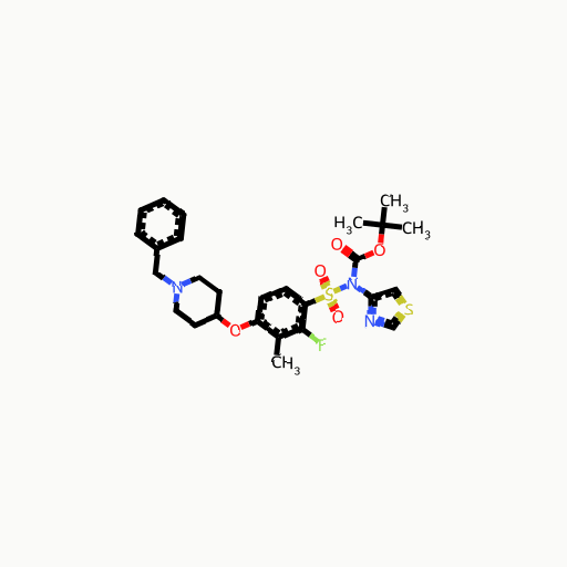 Cc1c(OC2CCN(Cc3ccccc3)CC2)ccc(S(=O)(=O)N(C(=O)OC(C)(C)C)c2cscn2)c1F